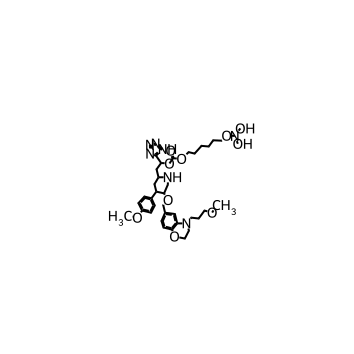 COCCCN1CCOc2ccc(COC3CNC(CC(OC(=O)OCCCCCCON(O)O)c4nnn[nH]4)CC3c3ccc(OC)cc3)cc21